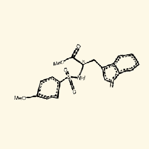 COC(=O)[C@@H](Cc1c[nH]c2ccccc12)NS(=O)(=O)c1ccc(OC)cc1